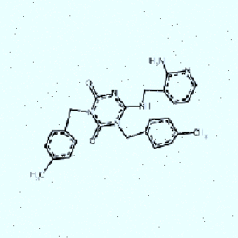 Cc1ccc(Cn2c(NCc3cccnc3N)nc(=O)n(Cc3ccc(C)cc3)c2=O)cc1